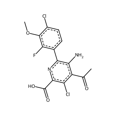 COc1c(Cl)ccc(-c2nc(C(=O)O)c(Cl)c(C(C)=O)c2N)c1F